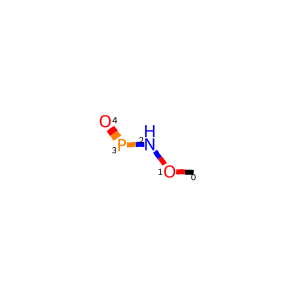 CONP=O